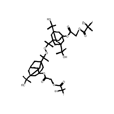 CCC(C)(I)C(=O)OCC(=O)OC12CC3CC(C(C)(C)O)(C1)CC(C(C)(C)OOC(C)(C)C14CC5(OC(=O)COC(=O)C(C)(I)CC)CC(C(C)(C)O)(CC(C(C)(C)O)(C5)C1)C4)(C3)C2